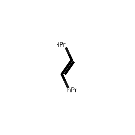 [CH2]CCC=C[C](C)C